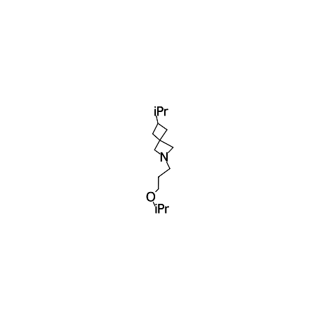 CC(C)OCCCN1CC2(CC(C(C)C)C2)C1